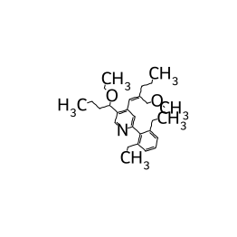 CCCC(=Cc1cc(-c2c(CC)cccc2CC)ncc1C(CCC)OCC)COC